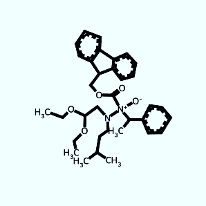 CCOC(CN(CCC(C)C)[N+]([O-])(C(=O)OCC1c2ccccc2-c2ccccc21)C(C)c1ccccc1)OCC